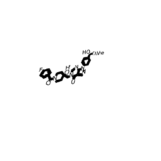 COC(O)c1ccc(-n2ncc3c(=O)n(CC4(O)CCN(C(=O)c5ccc(F)cc5)CC4)cnc32)cc1